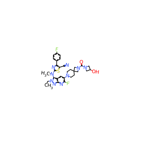 CCn1nc2nc(F)c(N3CCC4(CC3)CN(C(=O)N3CC(O)C3)C4)cc2c1N(C)c1nc(-c2ccc(F)cc2)c(C#N)s1